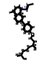 C/C=C/c1ccc(C)c2ccc(-c3ccc(OCCC(C)CCCC(C)C)cc3)cc12